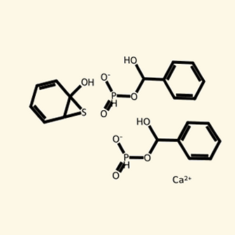 O=[PH]([O-])OC(O)c1ccccc1.O=[PH]([O-])OC(O)c1ccccc1.OC12C=CC=CC1S2.[Ca+2]